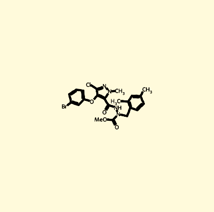 COC(=O)N(Cc1ccc(C)cc1C)NC(=O)c1c(Oc2cccc(Br)c2)c(Cl)nn1C